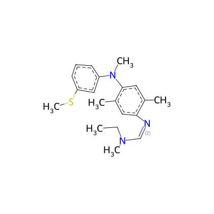 CCN(C)/C=N\c1cc(C)c(N(C)c2cccc(SC)c2)cc1C